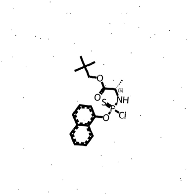 C[C@H](NP(=S)(Cl)Oc1cccc2ccccc12)C(=O)OCC(C)(C)C